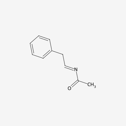 CC(=O)N=CCc1ccccc1